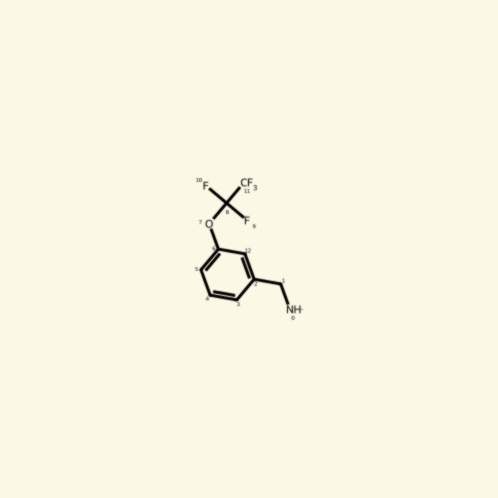 [NH]Cc1cccc(OC(F)(F)C(F)(F)F)c1